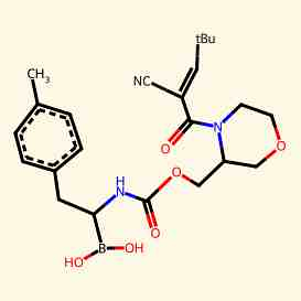 Cc1ccc(CC(NC(=O)OCC2COCCN2C(=O)C(C#N)=CC(C)(C)C)B(O)O)cc1